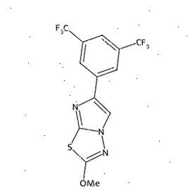 COc1nn2cc(-c3cc(C(F)(F)F)cc(C(F)(F)F)c3)nc2s1